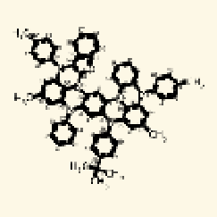 Cc1ccc(N2c3ccccc3B3c4cc5c(cc4N(c4ccc(C(C)(C)C)cc4)c4cc(C)cc2c43)N(c2ccccc2)c2cc(C)cc3c2B5c2oc4ccccc4c2N3c2ccc(C)cc2)cc1